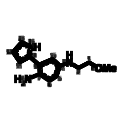 COCCNc1ccc(N)c(-c2ccc[nH]2)c1